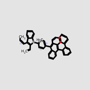 C=Cc1c(/C=C\C)c2ccccc2n1C(=C)/C=C\C(=C/C)c1c2ccccc2c(-c2ccccc2-c2ccccc2)c2ccccc12